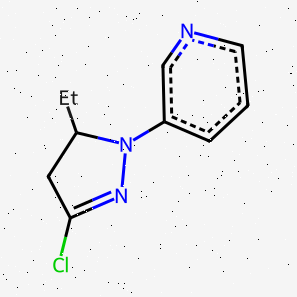 [CH2]CC1CC(Cl)=NN1c1cccnc1